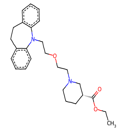 CCOC(=O)[C@@H]1CCCN(CCOCCN2c3ccccc3CCc3ccccc32)C1